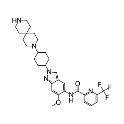 COc1cc2nn(C3CCC(N4CCC5(CCNCC5)CC4)CC3)cc2cc1NC(=O)c1cccc(C(F)(F)F)n1